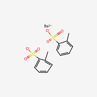 Cc1ccccc1S(=O)(=O)[O-].Cc1ccccc1S(=O)(=O)[O-].[Ba+2]